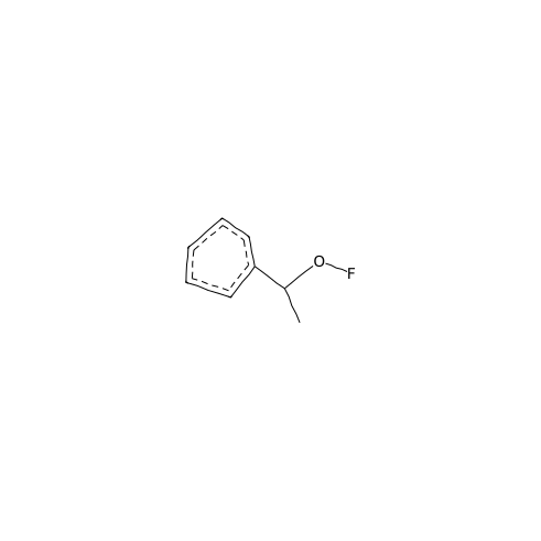 CC(OF)c1ccccc1